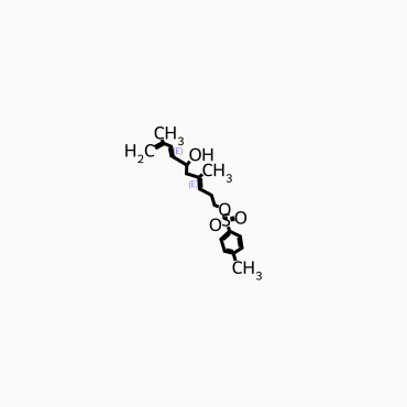 C=C(C)/C=C/C(O)C/C(C)=C/CCOS(=O)(=O)c1ccc(C)cc1